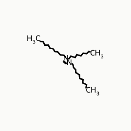 CCCCCCCCCCCN1C=CN(CCCCCCCCCCC)C1CCCCCCCC